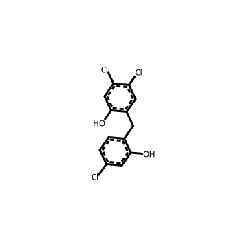 Oc1cc(Cl)ccc1Cc1cc(Cl)c(Cl)cc1O